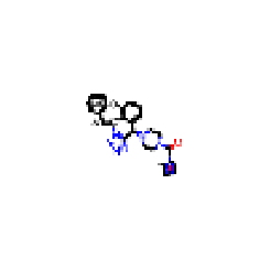 COc1cccc(C(c2nnnn2CCc2ccccc2)N2CCN(C(=O)N3CC4CC3C4)CC2)c1OC